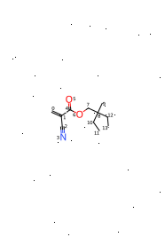 C=C(C#N)C(=O)OCC(C)(CC)CC